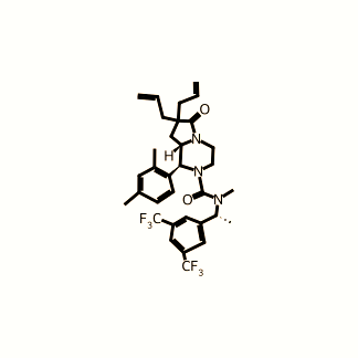 C=CCC1(CC=C)C[C@H]2[C@H](c3ccc(C)cc3C)N(C(=O)N(C)[C@H](C)c3cc(C(F)(F)F)cc(C(F)(F)F)c3)CCN2C1=O